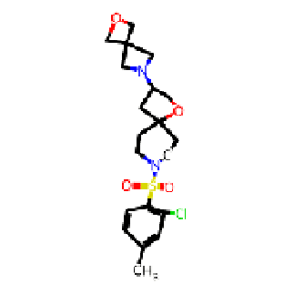 Cc1ccc(S(=O)(=O)N2CCC3(CC2)CC(N2CC4(COC4)C2)CO3)c(Cl)c1